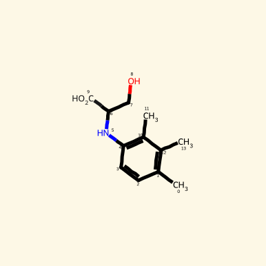 Cc1ccc(NC(CO)C(=O)O)c(C)c1C